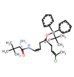 C/C(Cl)=C\C[C@@H](C/C=C\NC(=O)[C@@H](N)C(C)(C)C)O[Si](c1ccccc1)(c1ccccc1)C(C)(C)C